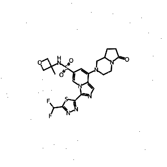 CC1(NS(=O)(=O)c2cc(N3CCN4C(=O)CCC4C3)c3cnc(-c4nnc(C(F)F)s4)n3c2)COC1